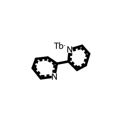 [Tb].c1ccc(-c2ccccn2)nc1